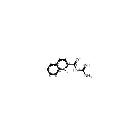 N=C(N)NC(=O)c1ccc2ccccc2n1